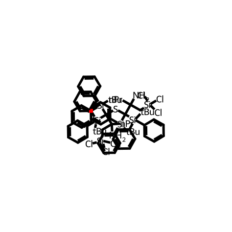 CCCC(N)(C[Si](Cl)(Cl)Cl)C(SC(C(N)(CCC)C[Si](Cl)(Cl)Cl)([Si](c1ccccc1)(c1ccccc1)C(C)(C)C)[Si](c1ccccc1)(c1ccccc1)C(C)(C)C)([Si](c1ccccc1)(c1ccccc1)C(C)(C)C)[Si](c1ccccc1)(c1ccccc1)C(C)(C)C